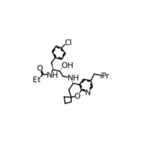 CCC(=O)N[C@@H](Cc1ccc(Cl)cc1)[C@H](O)CN[C@H]1CC2(CCC2)Oc2ncc(CC(C)C)cc21